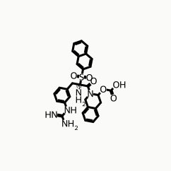 N=C(N)Nc1cccc(C[C@](N)(C(=O)N2Cc3ccccc3CC2OC(=O)O)S(=O)(=O)c2ccc3ccccc3c2)c1